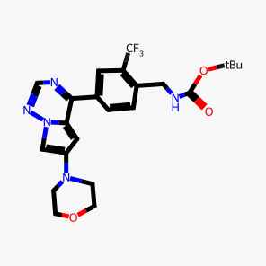 CC(C)(C)OC(=O)NCc1ccc(-c2ncnn3cc(N4CCOCC4)cc23)cc1C(F)(F)F